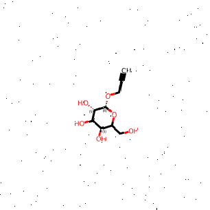 C#CCO[C@@H]1OC(CO)[C@@H](O)C(O)[C@@H]1O